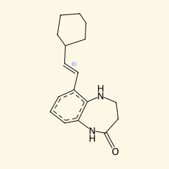 O=C1CCNc2c(/C=C/C3CCCCC3)cccc2N1